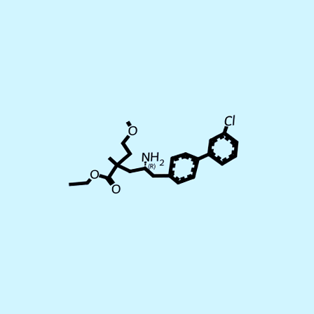 CCOC(=O)C(C)(CCOC)C[C@H](N)Cc1ccc(-c2cccc(Cl)c2)cc1